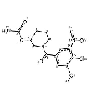 COc1cc(C(=O)N2CCC[C@@H](OC(N)=O)C2)cc([N+](=O)[O-])c1Cl